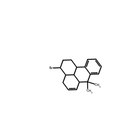 CC1(C)c2ccccc2C2CCC(Br)C3CC=CC1C23